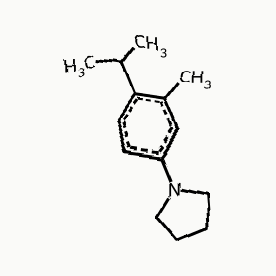 Cc1cc(N2CCCC2)ccc1C(C)C